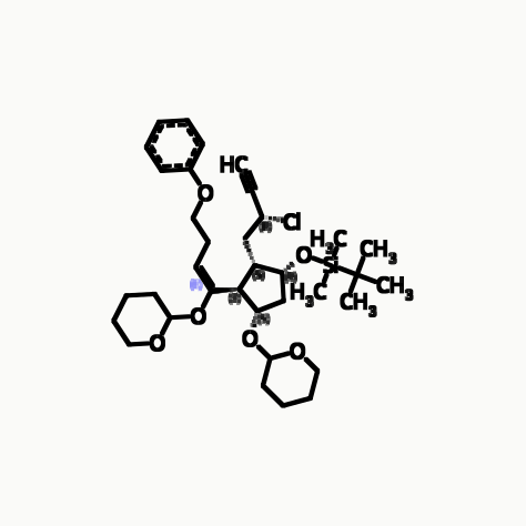 C#C[C@H](Cl)C[C@H]1[C@H](/C(=C\CCOc2ccccc2)OC2CCCCO2)[C@@H](OC2CCCCO2)C[C@H]1O[Si](C)(C)C(C)(C)C